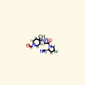 CC1(NCC(=O)N2C[C@@H](F)C[C@H]2C#N)CCN(C=O)CC1